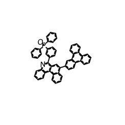 O=P(c1ccccc1)(c1ccccc1)c1cccc(-c2nc3ccccc3c3c2cc(-c2ccc4c5ccccc5c5ccccc5c4c2)c2ccccc23)c1